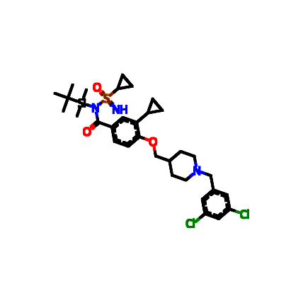 CC(C)(C)[Si](C)(C)N(C(=O)c1ccc(OCC2CCN(Cc3cc(Cl)cc(Cl)c3)CC2)c(C2CC2)c1)S(=N)(=O)C1CC1